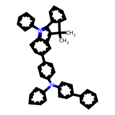 CC1(C)c2ccccc2-c2c1c1cc(-c3ccc(N(c4ccccc4)c4ccc(-c5ccccc5)cc4)cc3)ccc1n2-c1ccccc1